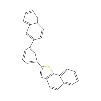 c1cc(-c2ccc3ccccc3c2)cc(-c2cc3ccc4ccccc4c3s2)c1